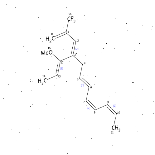 C=C(/C=C(C/C=C/C=C\C=C/C)\C(=C\C)OC)C(F)(F)F